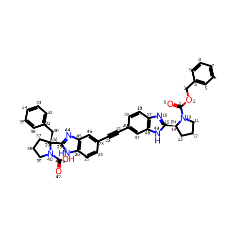 O=C(OCc1ccccc1)N1CCC[C@H]1c1nc2ccc(C#Cc3ccc4[nH]c([C@@]5(Cc6ccccc6)CCCN5C(=O)O)nc4c3)cc2[nH]1